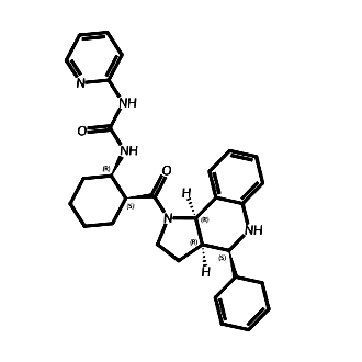 O=C(Nc1ccccn1)N[C@@H]1CCCC[C@@H]1C(=O)N1CC[C@@H]2[C@H](C3C=CC=CC3)Nc3ccccc3[C@@H]21